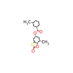 Cc1cccc(C(=O)Oc2cc(C)c3oc(=O)sc3c2)c1